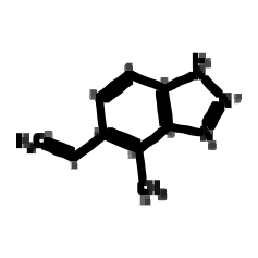 C=Cc1ccc2[nH]nnc2c1C